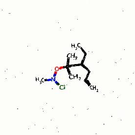 C=CCC(CC)C(C)(C)ON(C)Cl